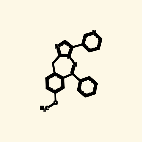 COc1ccc2c(c1)C(c1ccccc1)=Nn1c(-c3cccnc3)cnc1C2